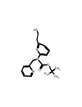 CC(C)(C)OC(=O)N(Cc1ccccn1)c1cccc(CCO)n1